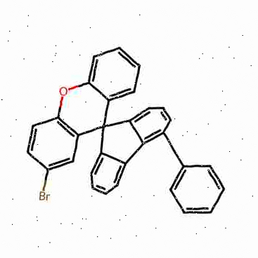 Brc1ccc2c(c1)C1(c3ccccc3O2)c2ccccc2-c2c(-c3ccccc3)cccc21